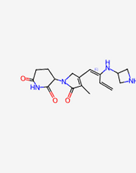 C=C/C(=C\C1=C(C)C(=O)N(C2CCC(=O)NC2=O)C1)NC1CNC1